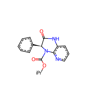 CC(C)OC(=O)N1c2ncccc2NC(=O)[C@@H]1c1ccccc1